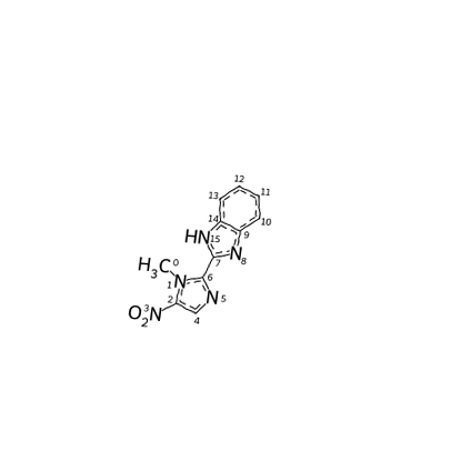 Cn1c([N+](=O)[O-])cnc1-c1nc2ccccc2[nH]1